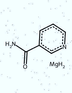 NC(=O)c1cccnc1.[MgH2]